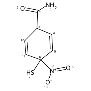 NC(=O)C1C=CC(S)([N+](=O)[O-])C=C1